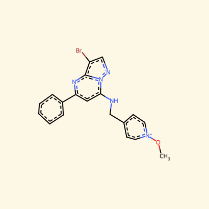 CO[n+]1ccc(CNc2cc(-c3ccccc3)nc3c(Br)cnn23)cc1